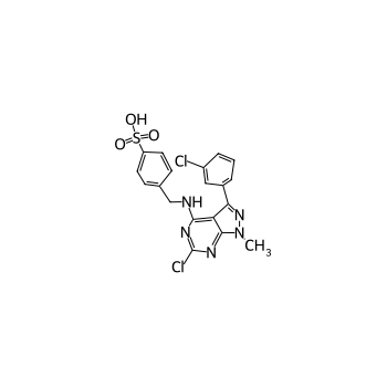 Cn1nc(-c2cccc(Cl)c2)c2c(NCc3ccc(S(=O)(=O)O)cc3)nc(Cl)nc21